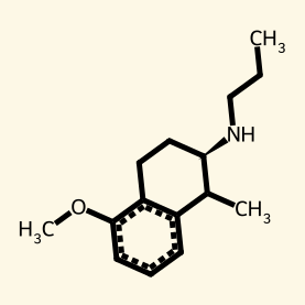 CCCN[C@@H]1CCc2c(OC)cccc2C1C